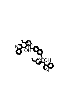 CCC1C[N+]2(Cc3ccc4ccc(C[N+]56CCC(CC5[C@H](O)c5ccnc7ccccc57)C(CC)C6)cc4c3)CCC1CC2[C@H](O)c1ccnc2ccccc12